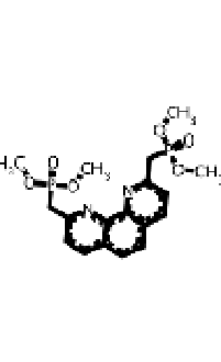 COP(=O)(Cc1ccc2ccc3ccc(CP(=O)(OC)OC)nc3c2n1)OC